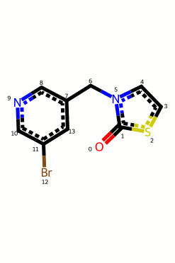 O=c1sccn1Cc1cncc(Br)c1